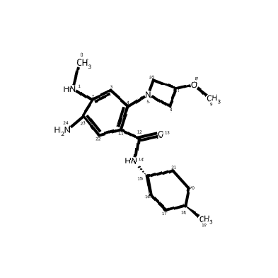 CNc1cc(N2CC(OC)C2)c(C(=O)N[C@H]2CC[C@H](C)CC2)cc1N